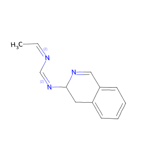 C/C=N\C=N/C1Cc2ccccc2C=N1